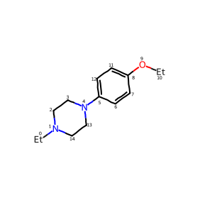 [CH2]CN1CCN(c2ccc(OCC)cc2)CC1